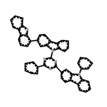 c1ccc(-c2nc(-c3ccc4c5ccccc5n(-c5ccccc5)c4c3)nc(-n3c4ccccc4c4ccc(-c5cccc6c5sc5ccccc56)cc43)n2)cc1